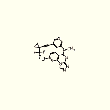 CN(c1cncc(C#CC2(C(F)(F)F)CC2)c1)c1nc2nncn2c2cc(Cl)ccc12